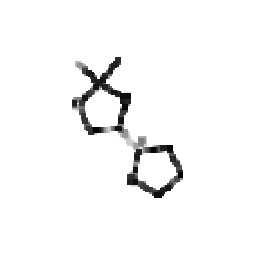 CC1(C)OCC([C@@H]2CCCO2)O1